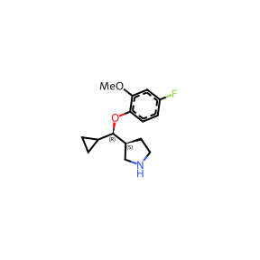 COc1cc(F)ccc1O[C@H](C1CC1)[C@H]1CCNC1